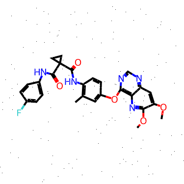 COc1cc2ncnc(Oc3ccc(NC(=O)C4(C(=O)Nc5ccc(F)cc5)CC4)c(C)c3)c2nc1OC